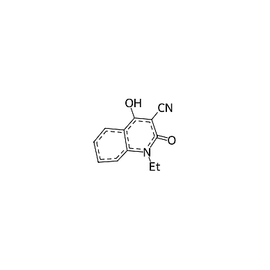 CCn1c(=O)c(C#N)c(O)c2ccccc21